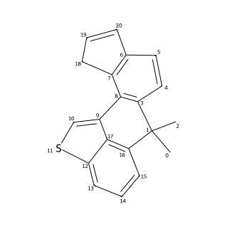 CC1(C)c2ccc3c(c2-c2csc4cccc1c24)CC=C3